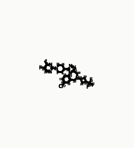 Cc1nc(N2CCC(c3nnc4n3-c3ccc(Cl)cc3CN(C3CC(C(F)(F)F)C3)C4)CC2)ncc1F